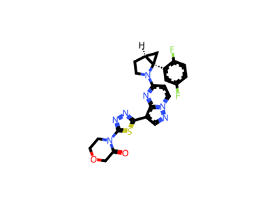 O=C1COCCN1c1nnc(-c2cnn3ccc(N4CC[C@H]5C[C@]54c4cc(F)ccc4F)nc23)s1